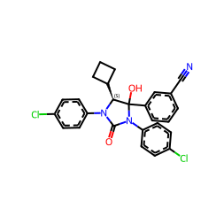 N#Cc1cccc(C2(O)[C@H](C3CCC3)N(c3ccc(Cl)cc3)C(=O)N2c2ccc(Cl)cc2)c1